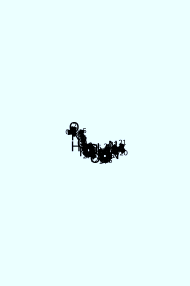 CC(=O)NC(C)COc1cnc(Oc2ccc3nc(C(C)C)ncc3c2Cl)cn1